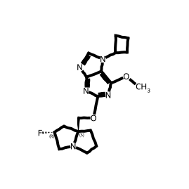 COc1nc(OC[C@@]23CCCN2C[C@H](F)C3)nc2ncn(C3CCC3)c12